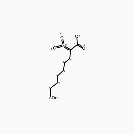 CCCCCCCCCCCCCCC(C([O])=O)=S(=O)=O